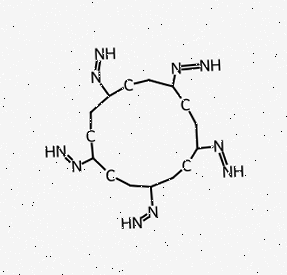 N=NC1CCC(N=N)CCC(N=N)CCC(N=N)CCC(N=N)CC1